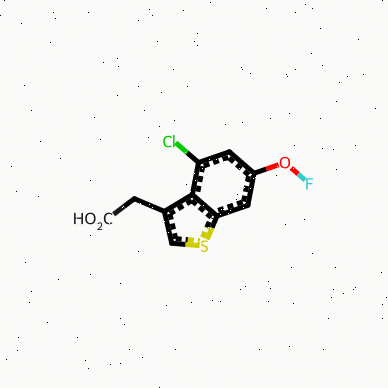 O=C(O)Cc1csc2cc(OF)cc(Cl)c12